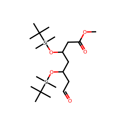 COC(=O)CC(CC(CC=O)O[Si](C)(C)C(C)(C)C)O[Si](C)(C)C(C)(C)C